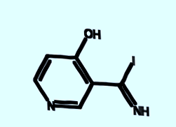 N=C(I)c1cnccc1O